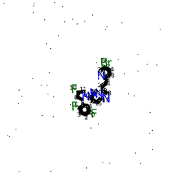 Fc1ccc(F)c([C@H]2C[C@H](F)CN2c2ccc3ncc(/C=C/c4ccc(Br)cn4)n3n2)c1